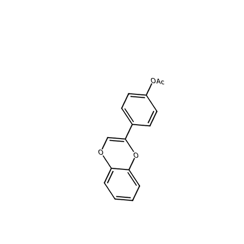 CC(=O)Oc1ccc(C2=COc3ccccc3O2)cc1